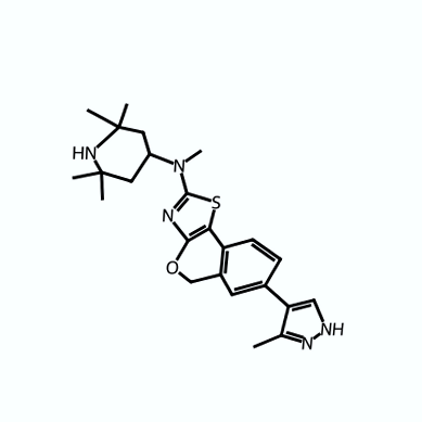 Cc1n[nH]cc1-c1ccc2c(c1)COc1nc(N(C)C3CC(C)(C)NC(C)(C)C3)sc1-2